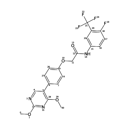 COc1ncc(-c2ccc(OCC(=O)Nc3ccc(F)c(C(F)(F)F)c3)cc2)c(OC)n1